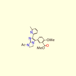 COC(=O)c1cc(-c2c(-c3cccc(C)n3)nc3n2CCN3C(C)=O)ccc1OC